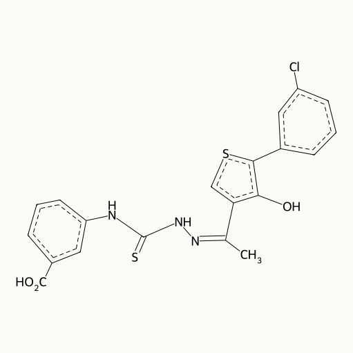 CC(=NNC(=S)Nc1cccc(C(=O)O)c1)c1csc(-c2cccc(Cl)c2)c1O